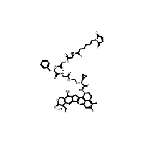 CC[C@@]1(O)C(=O)OCC2=C1C=C1c3nc4cc(F)c(C)c5c4c(c3CN1C2O)[C@@H](NC(=O)[C@H](OCNC(=O)CNC(=O)[C@H](Cc1ccccc1)NC(=O)CNC(=O)CNC(=O)CCCCCN1C(=O)C=CC1=O)C1CC1)CC5